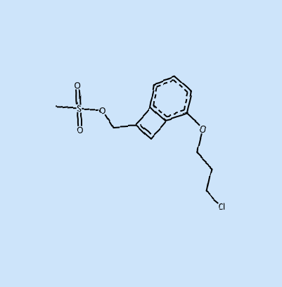 CS(=O)(=O)OCC1=Cc2c(OCCCCl)cccc21